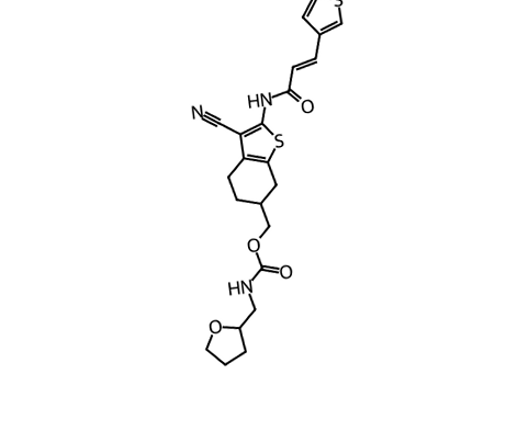 N#Cc1c(NC(=O)C=Cc2ccsc2)sc2c1CCC(COC(=O)NCC1CCCO1)C2